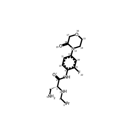 CC(C)CN[C@H](CN)C(=O)Nc1ccc(N2CCOCC2=O)cc1F